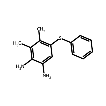 Cc1c(Sc2ccccc2)cc(N)c(N)c1C